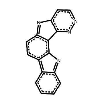 c1ccc2c(c1)=Nc1c3c(ccc1=2)=Nc1ccnnc1-3